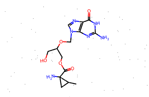 CC1CC1(N)C(=O)OCC(CO)OCn1cnc2c(=O)[nH]c(N)nc21